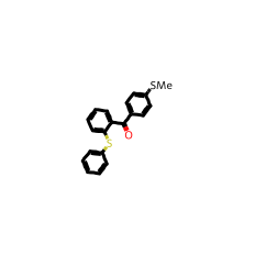 CSc1ccc(C(=O)c2ccccc2Sc2ccccc2)cc1